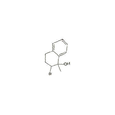 CC1(O)c2ccccc2CCC1Br